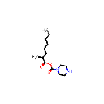 CCCCCCC(C)C(=O)OC(=O)N1CCNCC1